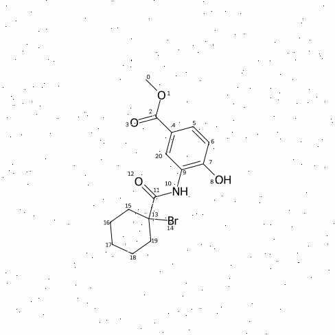 COC(=O)c1ccc(O)c(NC(=O)C2(Br)CCCCC2)c1